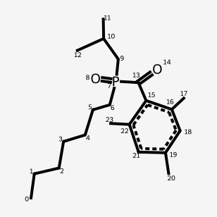 CCCCCCCP(=O)(CC(C)C)C(=O)c1c(C)cc(C)cc1C